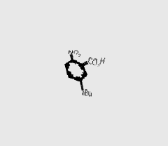 CCCCc1ccc([N+](=O)[O-])c(C(=O)O)c1